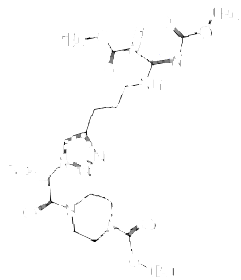 CCC(C)[C@@H](C(=O)N1CCN(C(=O)OC(C)(C)C)CC1)n1cc(CCCN/C(=N/C(=O)OC(C)(C)C)NC(=O)OC(C)(C)C)nn1